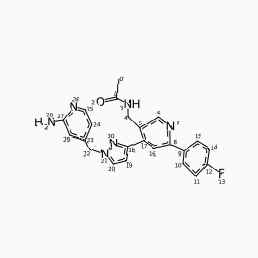 CC(=O)NCc1cnc(-c2ccc(F)cc2)cc1-c1ccn(Cc2ccnc(N)c2)n1